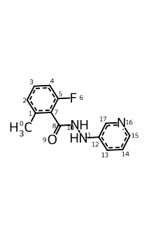 Cc1cccc(F)c1C(=O)NNc1cccnc1